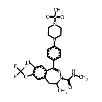 CNC(=O)N1N=C(c2ccc(N3CCN(S(C)(=O)=O)CC3)cc2)c2cc(Cl)c(OC(F)(F)F)cc2CC1C